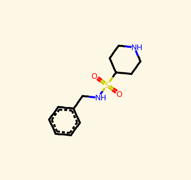 O=S(=O)(NCc1ccccc1)C1CCNCC1